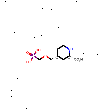 O=C(O)[C@@H]1C[C@H](COCP(=O)(O)O)CCN1